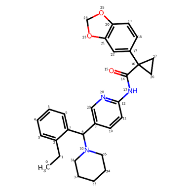 CCc1ccccc1C(c1ccc(NC(=O)C2(c3ccc4c(c3)OCO4)CC2)nc1)N1CCCCC1